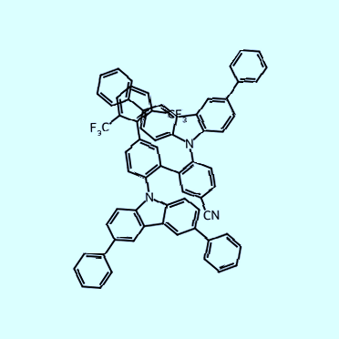 N#Cc1ccc(-n2c3ccc(-c4ccccc4)cc3c3cc(-c4ccccc4)ccc32)c(-c2cc(-c3c(C(F)(F)F)cccc3C(F)(F)F)ccc2-n2c3ccc(-c4ccccc4)cc3c3cc(-c4ccccc4)ccc32)c1